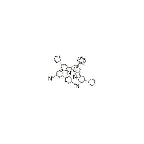 N#Cc1cccc(-c2ccc(C#N)c(-n3c4ccc(-c5ccccc5)cc4c4cc(-c5ccccc5)ccc43)c2-n2c3ccc(-c4ccccc4)cc3c3cc(-c4ccccc4)ccc32)c1